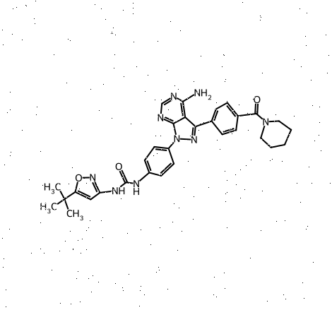 CC(C)(C)c1cc(NC(=O)Nc2ccc(-n3nc(-c4ccc(C(=O)N5CCCCC5)cc4)c4c(N)ncnc43)cc2)no1